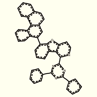 c1ccc(-c2nc(-c3ccccc3)nc(-c3nccc4oc5c(-c6cc7ccc8ccccc8c7c7ccccc67)cccc5c34)n2)cc1